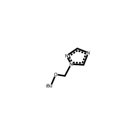 CCC(C)OCn1cncn1